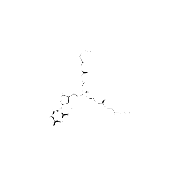 COCCOC(=O)OCOP(=O)(OCOC(=O)OCCOC)OCC1CO[C@@H](n2ccc(=O)[nH]c2=O)[C@H]1C